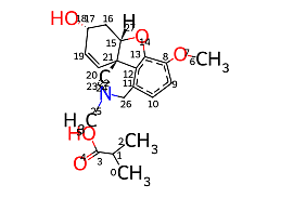 CC(C)C(=O)O.COc1ccc2c3c1O[C@H]1C[C@@H](O)C=C[C@@]31CCN(C)C2